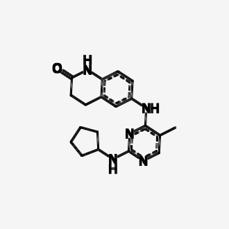 Cc1cnc(NC2CCCC2)nc1Nc1ccc2c(c1)CCC(=O)N2